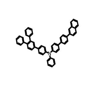 c1ccc(-c2ccc(-c3ccc(N(c4ccccc4)c4ccc(-c5ccc(-c6ccc7ccccc7c6)cc5)cc4)cc3)cc2-c2ccccc2)cc1